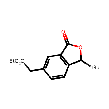 CCCCC1OC(=O)c2cc(CC(=O)OCC)ccc21